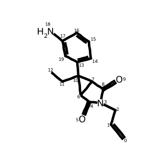 C=CCN1C(=O)C2C(C1=O)C2(CC)c1cccc(N)c1